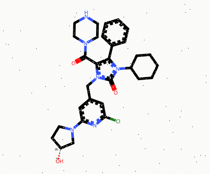 O=C(c1c(-c2ccccc2)n(C2CCCCC2)c(=O)n1Cc1cc(Cl)nc(N2CC[C@@H](O)C2)c1)N1CCNCC1